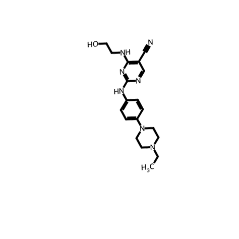 CCN1CCN(c2ccc(Nc3ncc(C#N)c(NCCO)n3)cc2)CC1